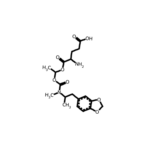 CC(OC(=O)C(N)CCC(=O)O)OC(=O)N(C)C(C)Cc1ccc2c(c1)OCO2